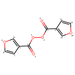 O=C(OOC(=O)c1ccoc1)c1ccoc1